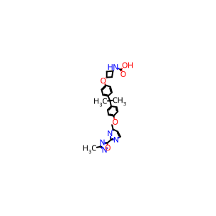 Cc1noc(-c2nccc(COc3ccc(C(C)(C)c4ccc(OC5CC(NC(=O)O)C5)cc4)cc3)n2)n1